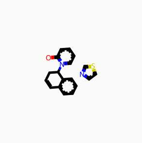 O=c1ccccn1C1CC=Cc2ccccc21.c1cscn1